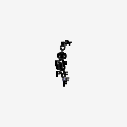 CCCC1CCC(C2COC(c3cc(F)c(C(=O)Oc4cc(F)c(C/C=C/C(F)F)c(F)c4)c(F)c3)OC2)CC1